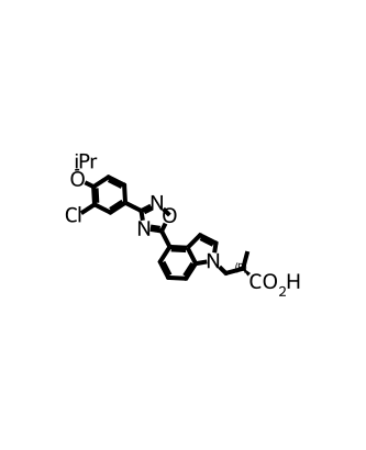 CC(C)Oc1ccc(-c2noc(-c3cccc4c3ccn4C[C@@H](C)C(=O)O)n2)cc1Cl